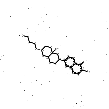 CCCCC[C@@H]1CC[C@@H]2CC(c3ccc4c(F)c(F)ccc4c3)CCC2C1